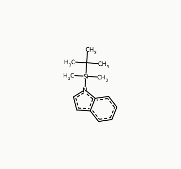 CC(C)(C)[Si](C)(C)n1ccc2ccccc21